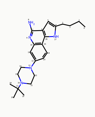 CCCCc1cc2c(N)nc3cc(N4CCN(C(C)(C)C)CC4)ccc3c2[nH]1